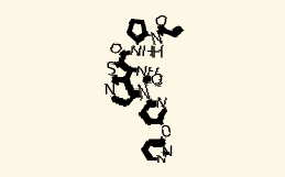 C=CC(=O)N[C@H]1CCC[C@H]1NC(=O)c1sc2nccc3c2c1NC(=O)N3c1ccc(Oc2cccnn2)cn1